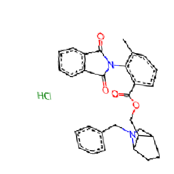 Cc1cccc(C(=O)OCC2C3CCC2N(Cc2ccccc2)C3)c1N1C(=O)c2ccccc2C1=O.Cl